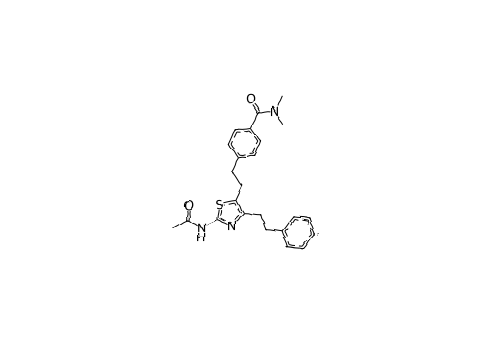 CC(=O)Nc1nc(CCc2cc[c]cc2)c(CCc2ccc(C(=O)N(C)C)cc2)s1